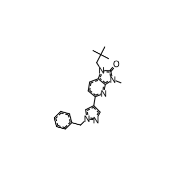 Cn1c(=O)n(CC(C)(C)C)c2ccc(-c3cnn(Cc4ccccc4)c3)nc21